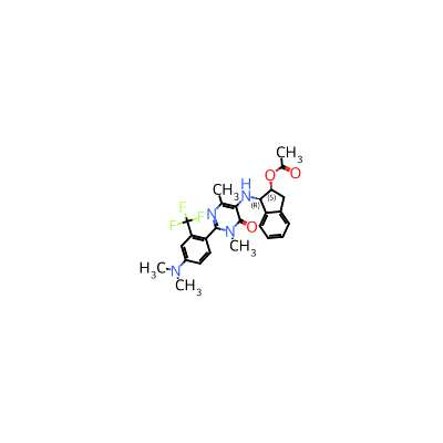 CC(=O)O[C@H]1Cc2ccccc2[C@H]1Nc1c(C)nc(-c2ccc(N(C)C)cc2C(F)(F)F)n(C)c1=O